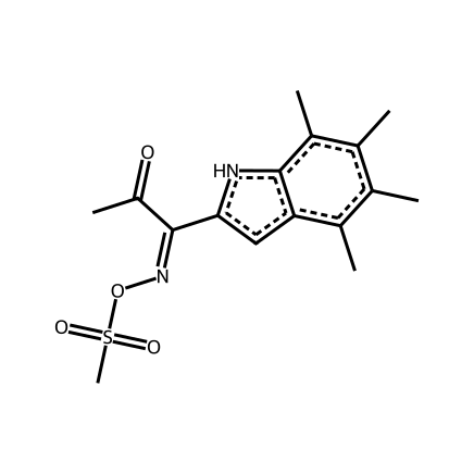 CC(=O)/C(=N\OS(C)(=O)=O)c1cc2c(C)c(C)c(C)c(C)c2[nH]1